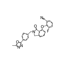 Cc1nnc(-c2ccc(CN3Cc4cccc(Oc5c(F)cccc5C#N)c4C3=O)cc2)o1